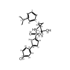 CN(C)c1cccc([C@@H]2C[C@]2(NS(=O)(=O)c2ccc(-c3ccc(Cl)cc3)s2)C(=O)O)c1